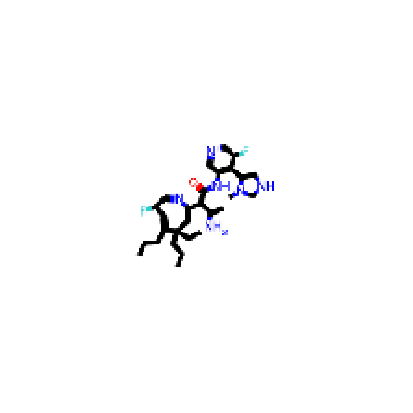 CCC/C1=C\C(F)/C=N\C(C(C(=O)NC2=C(C3CNCN3C)C(F)C=[N+]=C2)C(C)N)CC1(CC)CCC